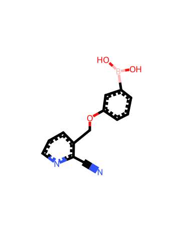 N#Cc1ncccc1COc1cccc(B(O)O)c1